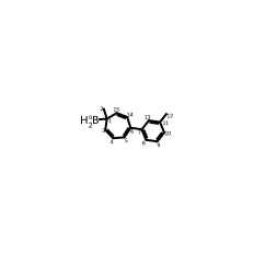 BC1(C)C=CC=C(c2cccc(C)c2)C=C1